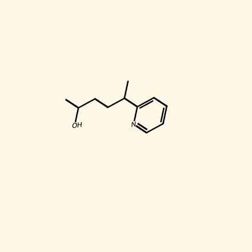 CC(O)CCC(C)c1ccccn1